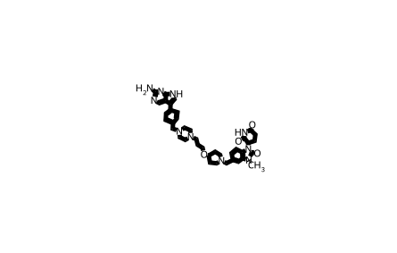 Cn1c(=O)n(C2CCC(=O)NC2=O)c2ccc(CN3CCC(OCCCN4CCN(Cc5ccc(-c6c[nH]c7nc(N)ncc67)cc5)CC4)CC3)cc21